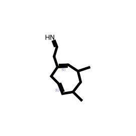 CC1/C=C/C/C(CC=N)=C\C(C)C1